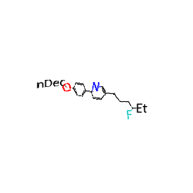 CCCCCCCCCCOc1ccc(-c2ccc(CCCC(F)CC)cn2)cc1